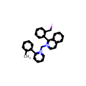 Cc1ccccc1-c1cccc[n+]1C[n+]1ccc2ccccc2c1-c1ccccc1CI